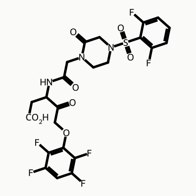 O=C(O)CC(NC(=O)CN1CCN(S(=O)(=O)c2c(F)cccc2F)CC1=O)C(=O)COc1c(F)c(F)cc(F)c1F